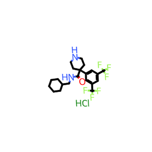 Cl.O=C(NCC1CCCCC1)C1(c2cc(C(F)(F)F)cc(C(F)(F)F)c2)CCNCC1